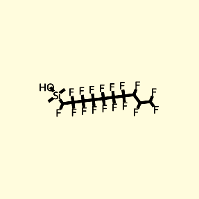 C[Si](C)(O)C(F)C(F)(F)C(F)(F)C(F)(F)C(F)(F)C(F)(F)C(F)(F)C(F)C(F)C(F)F